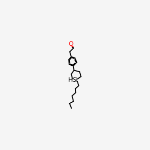 CCCCCCC[SiH]1CCC(c2ccc(CC=O)cc2)CC1